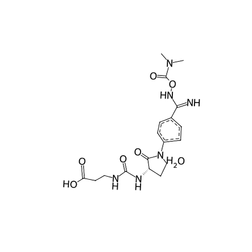 CN(C)C(=O)ONC(=N)c1ccc(N2CC[C@H](NC(=O)NCCC(=O)O)C2=O)cc1.O